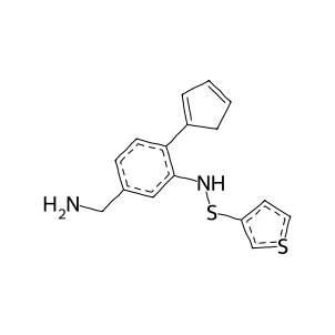 NCc1ccc(C2=CC=CC2)c(NSc2ccsc2)c1